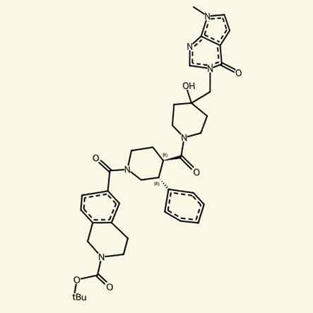 Cn1ccc2c(=O)n(CC3(O)CCN(C(=O)[C@@H]4CCN(C(=O)c5ccc6c(c5)CCN(C(=O)OC(C)(C)C)C6)C[C@H]4c4ccccc4)CC3)cnc21